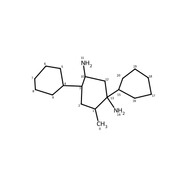 CC1CC(C2CCCCC2)C(N)CC1(N)C1CCCCC1